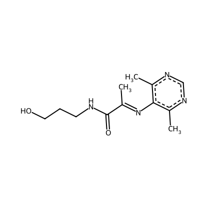 C/C(=N\c1c(C)ncnc1C)C(=O)NCCCO